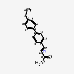 CC(C)Cc1ccc(-c2ccc(/C=C/C(N)=O)cc2)cc1